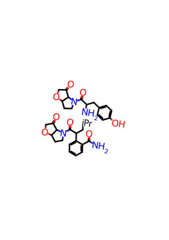 CC(C)CC(C(=O)N1CCC2OCC(=O)C21)c1ccccc1C(N)=O.NC(Cc1ccc(O)cc1)C(=O)N1CCC2OCC(=O)C21